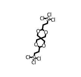 Cl[Si](Cl)(Cl)CCC1OCC2(CO1)COC(CC[Si](Cl)(Cl)Cl)OC2